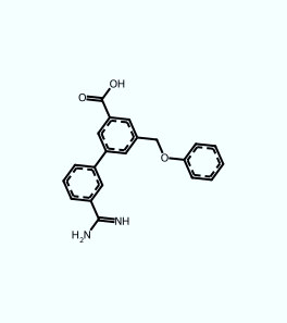 N=C(N)c1cccc(-c2cc(COc3ccccc3)cc(C(=O)O)c2)c1